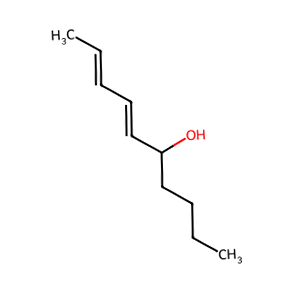 C/C=C/C=C/C(O)CCCC